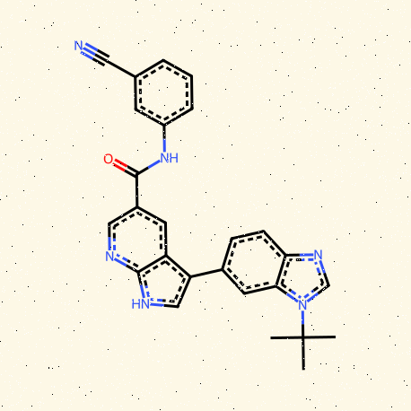 CC(C)(C)n1cnc2ccc(-c3c[nH]c4ncc(C(=O)Nc5cccc(C#N)c5)cc34)cc21